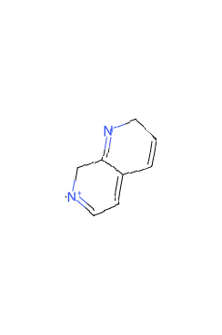 C1=CC2=CC=[N+]CC2=NC1